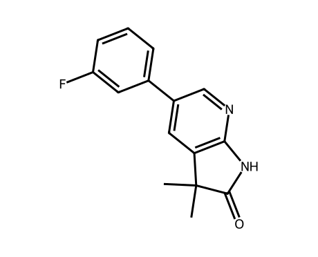 CC1(C)C(=O)Nc2ncc(-c3cccc(F)c3)cc21